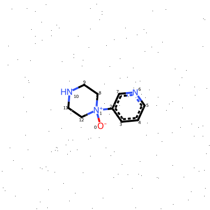 [O-][N+]1(c2cccnc2)CCNCC1